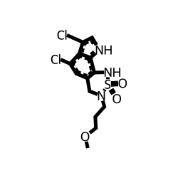 COCCCN1Cc2cc(Cl)c3c(Cl)c[nH]c3c2NS1(=O)=O